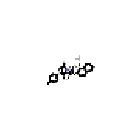 CC1=CN(c2ccc(C)cc2)C(=O)/C1=N\Nc1ccc2ccccc2c1O